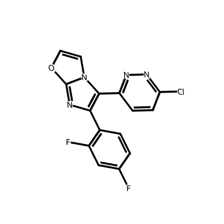 Fc1ccc(-c2nc3occn3c2-c2ccc(Cl)nn2)c(F)c1